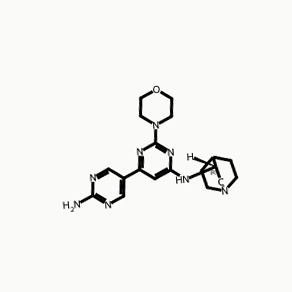 Nc1ncc(-c2cc(N[C@H]3CN4CCC3CC4)nc(N3CCOCC3)n2)cn1